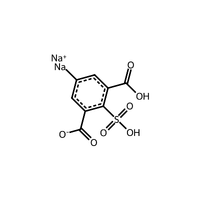 O=C([O-])c1c[c]([Na])cc(C(=O)O)c1S(=O)(=O)O.[Na+]